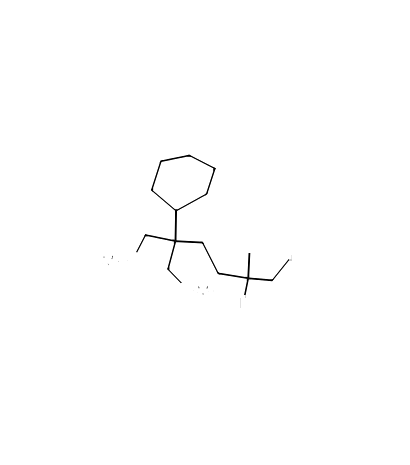 COCC(CCC(F)(F)CC(C)C)(COC)C1CCCCC1